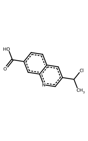 CC(Cl)c1cnc2cc(C(=O)O)ccc2c1